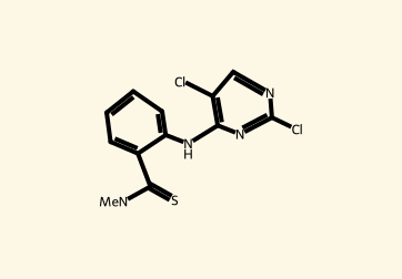 CNC(=S)c1ccccc1Nc1nc(Cl)ncc1Cl